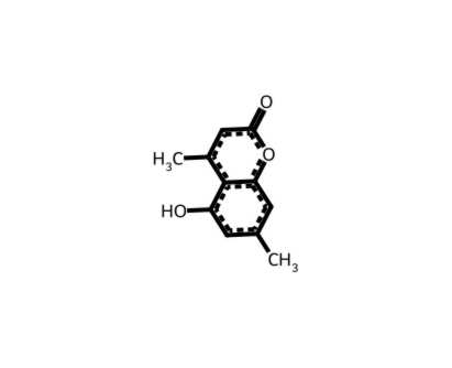 Cc1cc(O)c2c(C)cc(=O)oc2c1